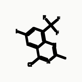 Cc1nc(Cl)c2cc(I)cc(C(F)(F)F)c2n1